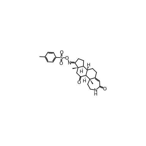 Cc1ccc(S(=O)(=O)O/N=C2\CC[C@H]3[C@@H]4CCC5=CC(=O)NCC[C@]5(C)[C@H]4C(=O)C[C@]23C)cc1